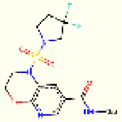 CC(C)(C)NC(=O)c1cnc2c(c1)N(S(=O)(=O)N1CCC(F)(F)C1)CCO2